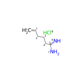 C=CCCCC(=N)N.Cl